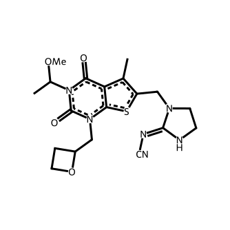 COC(C)n1c(=O)c2c(C)c(CN3CCN/C3=N\C#N)sc2n(CC2CCO2)c1=O